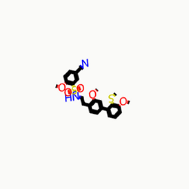 COc1cc(-c2cccc(OC)c2SC)ccc1CCNS(=O)(=O)c1cc(C#N)ccc1OC